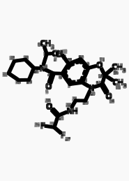 CC(C)N(C(=O)c1cc2c(cc1Cl)OC(C)(C)C(=O)N2CCNC(=O)C(F)F)C1CCCCC1